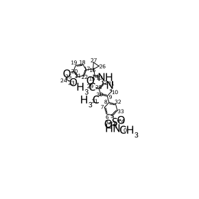 CNS(=O)(=O)c1ccc(-c2cnc(NC(=O)C3(c4ccc5c(c4)OCO5)CC3)c(C)c2C)cc1